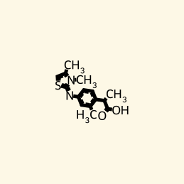 Cc1cc(N=c2scc(C)n2C)ccc1C(C)C(=O)O